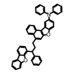 c1ccc(C(CCc2cc3oc4ccc(N(c5ccccc5)c5ccccc5)cc4c3c3ccccc23)c2cccc3c2oc2ccccc23)cc1